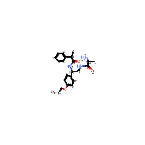 CCCC(C)COc1ccc([C@H](CNC(=O)[C@H](C)N)NC(=O)C(C)c2ccccc2)cc1